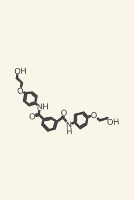 O=C(Nc1ccc(OCCO)cc1)c1cccc(C(=O)Nc2ccc(OCCO)cc2)c1